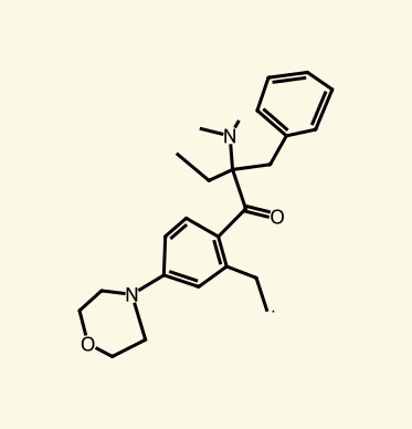 [CH2]Cc1cc(N2CCOCC2)ccc1C(=O)C(CC)(Cc1ccccc1)N(C)C